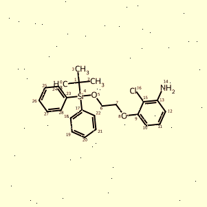 CC(C)(C)[Si](OCCOc1cccc(N)c1Cl)(c1ccccc1)c1ccccc1